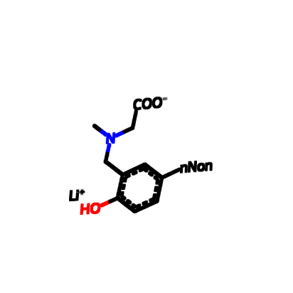 CCCCCCCCCc1ccc(O)c(CN(C)CC(=O)[O-])c1.[Li+]